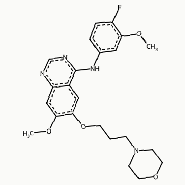 COc1cc(Nc2ncnc3cc(OC)c(OCCCN4CCOCC4)cc23)ccc1F